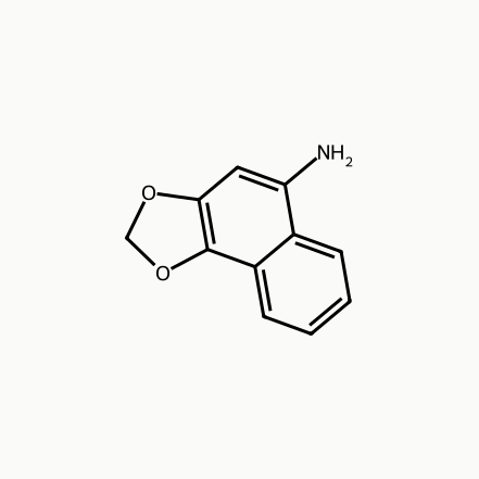 Nc1cc2c(c3ccccc13)OCO2